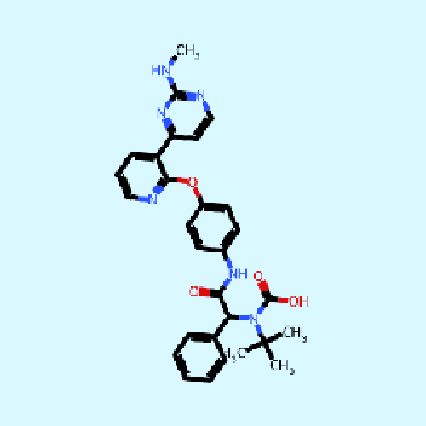 CNc1nccc(-c2cccnc2Oc2ccc(NC(=O)C(c3ccccc3)N(C(=O)O)C(C)(C)C)cc2)n1